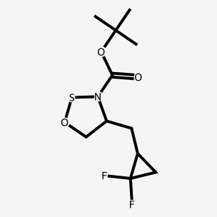 CC(C)(C)OC(=O)N1SOCC1CC1CC1(F)F